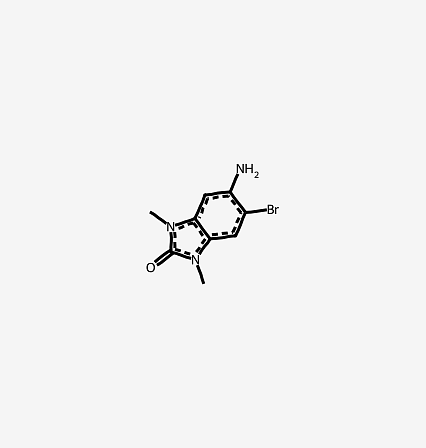 Cn1c(=O)n(C)c2cc(Br)c(N)cc21